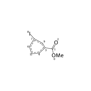 COC(=O)c1c[c]cc(I)c1